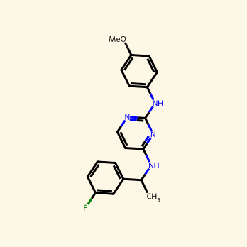 COc1ccc(Nc2nccc(NC(C)c3cccc(F)c3)n2)cc1